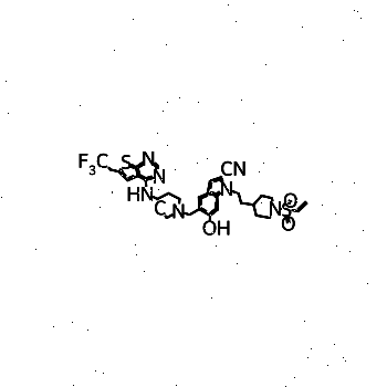 C=CS(=O)(=O)N1CCC(CCn2c(C#N)cc3cc(CN4CCC(Nc5ncnc6sc(CC(F)(F)F)cc56)CC4)c(O)cc32)CC1